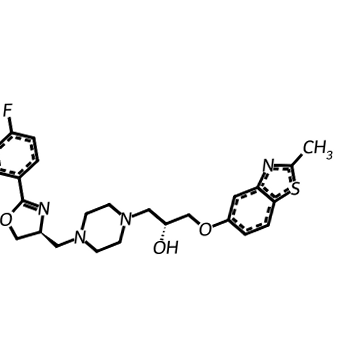 Cc1nc2cc(OC[C@H](O)CN3CCN(C[C@H]4COC(c5ccc(F)cc5)=N4)CC3)ccc2s1